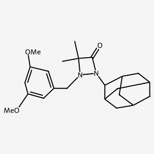 COc1cc(CN2N(C3C4CC5CC(C4)CC3C5)C(=O)C2(C)C)cc(OC)c1